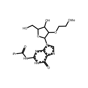 COCCOC1C(O)C(CO)OC1n1cnc2c(=O)[nH]c(NC(=O)C(C)C)nc21